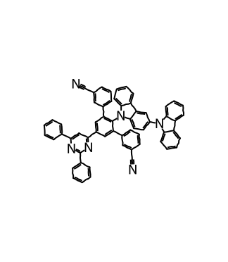 N#Cc1cccc(-c2cc(-c3cc(-c4ccccc4)nc(-c4ccccc4)n3)cc(-c3cccc(C#N)c3)c2-n2c3ccccc3c3cc(-n4c5ccccc5c5ccccc54)ccc32)c1